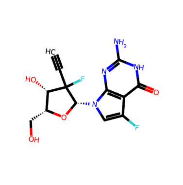 C#CC1(F)[C@@H](O)[C@@H](CO)O[C@H]1n1cc(F)c2c(=O)[nH]c(N)nc21